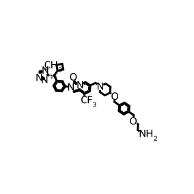 Cn1cnnc1[C@@H](c1cccc(-n2cc3c(C(F)(F)F)cc(CN4CCC(OCc5ccc(COCCN)cc5)CC4)cn3c2=O)c1)C1CCC1